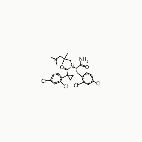 CN(C)CC(C)(C)CN(C(=O)C1(c2ccc(Cl)cc2Cl)CC1)[C@@H](Cc1ccc(Cl)cc1Cl)C(N)=O